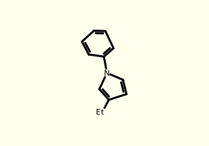 [CH2]Cc1ccn(-c2ccccc2)c1